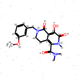 CN(C)C(=O)c1c2c(c(O)c(=O)n1C)C(=O)N(Cc1cccc(OC(F)(F)F)c1)CC2